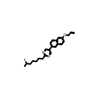 C=CCOc1ccc2cc(-c3cnc(CCCCCC(C)F)nc3)ccc2c1